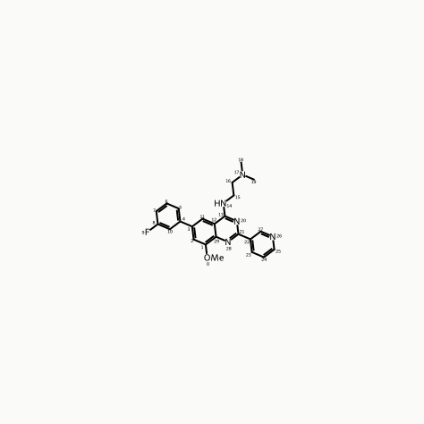 COc1cc(-c2cccc(F)c2)cc2c(NCCN(C)C)nc(-c3cccnc3)nc12